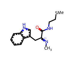 C/N=C(\Cc1c[nH]c2ccccc12)C(=O)NCCSC